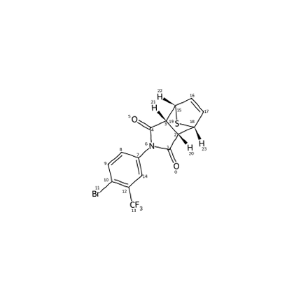 O=C1[C@@H]2[C@H](C(=O)N1c1ccc(Br)c(C(F)(F)F)c1)[C@@H]1C=C[C@H]2S1